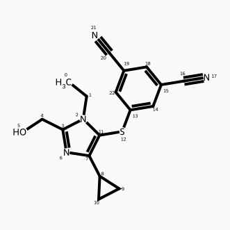 CCn1c(CO)nc(C2CC2)c1Sc1cc(C#N)cc(C#N)c1